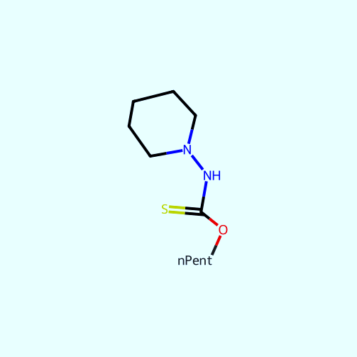 CCCCCOC(=S)NN1CCCCC1